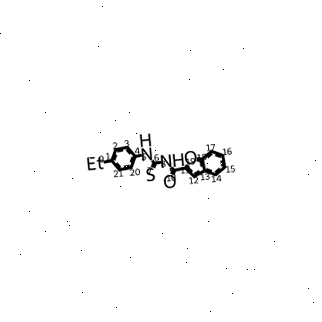 CCc1ccc(NC(=S)NC(=O)c2cc3ccccc3o2)cc1